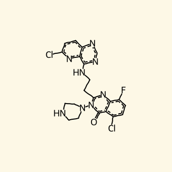 O=c1c2c(Cl)ccc(F)c2nc(CCNc2ncnc3ccc(Cl)nc23)n1N1CCNCC1